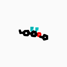 CCC1CC=C(c2ccc(OCC3CCCC3)c(F)c2F)CC1